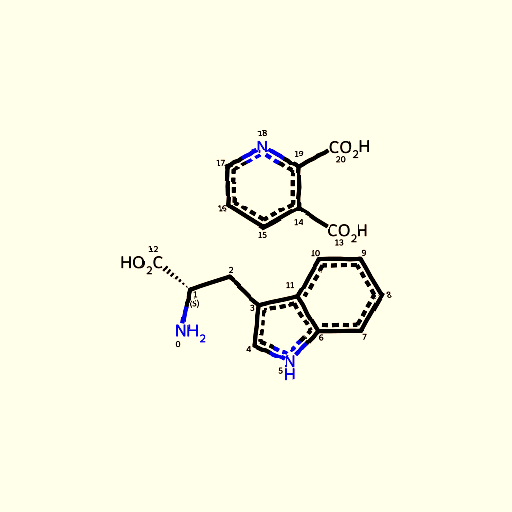 N[C@@H](Cc1c[nH]c2ccccc12)C(=O)O.O=C(O)c1cccnc1C(=O)O